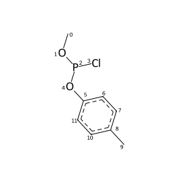 COP(Cl)Oc1ccc(C)cc1